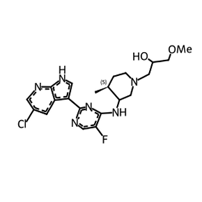 COCC(O)CN1CC[C@H](C)C(Nc2nc(-c3c[nH]c4ncc(Cl)cc34)ncc2F)C1